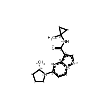 C[C@H]1CCCN1c1ccn2ncc(C(=O)NC3(C)CC3)c2n1